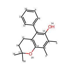 Cc1c(C)c2c(c(-c3ccccc3)c1O)CCC(C)(C)O2